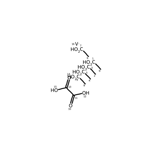 CC(=O)O.CC(=O)O.CC(=O)O.CC(=O)O.CC(=O)O.O=C(O)C(=O)O.[V]